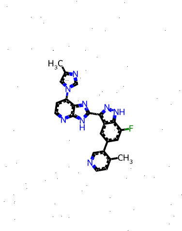 Cc1cn(-c2ccnc3[nH]c(-c4n[nH]c5c(F)cc(-c6cnccc6C)cc45)nc23)cn1